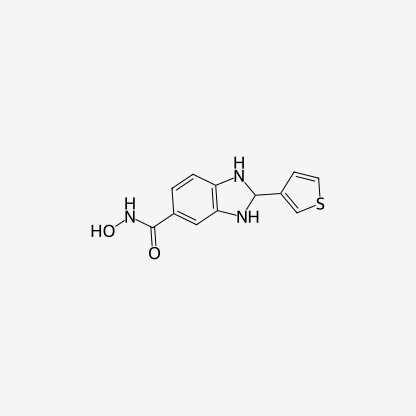 O=C(NO)c1ccc2c(c1)NC(c1ccsc1)N2